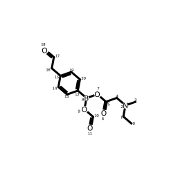 CCN(C)CC(=O)OB(OC=O)c1ccc(CC=O)cc1